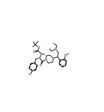 CCN(CC)CC(c1ccccc1OC)N1CCN(C(=O)[C@@H](Cc2ccc(Cl)cc2)NC(=O)OC(C)(C)C)CC1